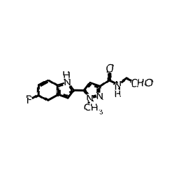 Cn1nc(C(=O)NCC=O)cc1-c1cc2c([nH]1)C=CC(F)C2